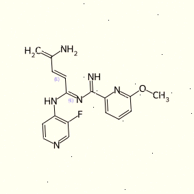 C=C(N)/C=C/C(=N\C(=N)c1cccc(OC)n1)Nc1ccncc1F